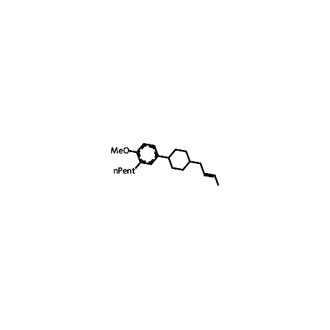 CC=CCC1CCC(c2ccc(OC)c(CCCCC)c2)CC1